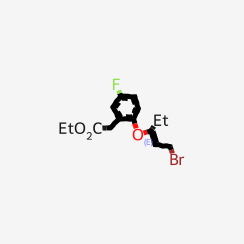 CCOC(=O)Cc1cc(F)ccc1O/C(=C/CBr)CC